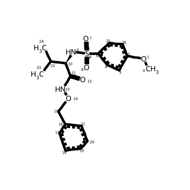 COc1ccc(S(=O)(=O)N[C@@H](C(=O)NOCc2ccccc2)C(C)C)cc1